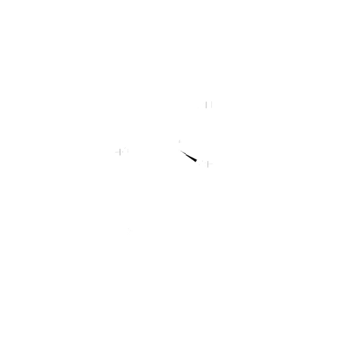 OC[C@@H](O)[C@@H](O)CC=S